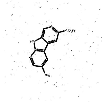 CCOC(=O)c1cc2c(cn1)[nH]c1ccc(C(C)(C)C)cc12